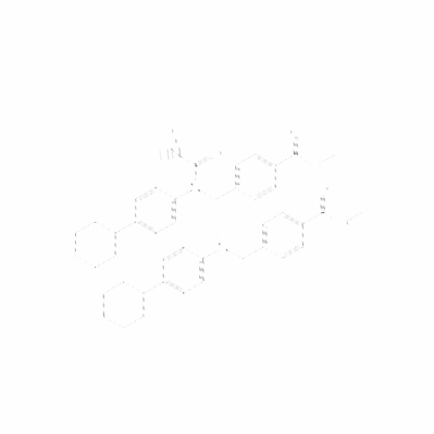 COC(=O)c1ccc(CN(C(=O)NCl)c2ccc(C3CCCCC3)cc2)cc1.COC(=O)c1ccc(CNc2ccc(C3CCCCC3)cc2)cc1